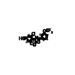 O=c1oc(-c2cccc(OC(F)(F)F)c2)nn1-c1c(Cl)c[n+](O)cc1Cl